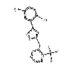 Bc1ccc(O)c(-c2nc(Cc3ccccc3C(F)(F)F)no2)c1